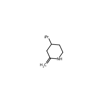 C=C1CC(C(C)C)CCN1